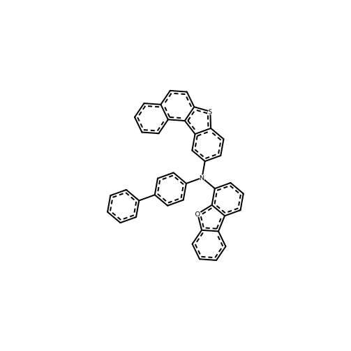 c1ccc(-c2ccc(N(c3ccc4sc5ccc6ccccc6c5c4c3)c3cccc4c3oc3ccccc34)cc2)cc1